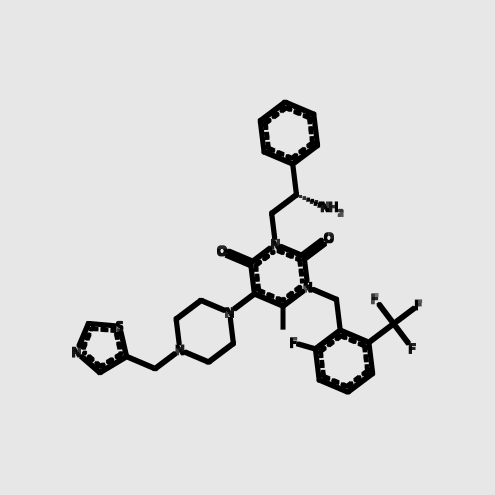 Cc1c(N2CCN(Cc3cncs3)CC2)c(=O)n(C[C@@H](N)c2ccccc2)c(=O)n1Cc1c(F)cccc1C(F)(F)F